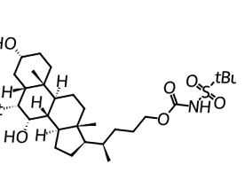 CC[C@H]1[C@@H](O)[C@@H]2[C@H](CC[C@]3(C)[C@@H]([C@H](C)CCCOC(=O)NS(=O)(=O)C(C)(C)C)CC[C@@H]23)[C@@]2(C)CC[C@@H](O)C[C@@H]12